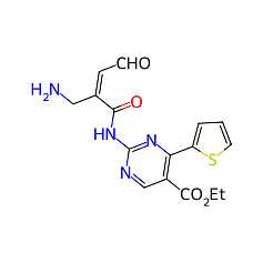 CCOC(=O)c1cnc(NC(=O)/C(=C\C=O)CN)nc1-c1cccs1